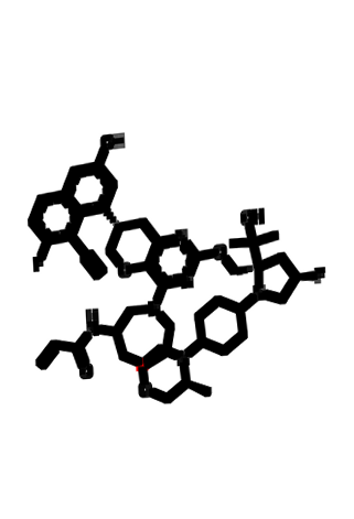 C#Cc1c(F)ccc2cc(O)cc([C@H]3COc4c(nc(OC[C@]5(C(C)(C)O)C[C@@H](F)CN5C5CCC(N6CCOC[C@@H]6C)CC5)nc4N4CCCCC(NC(=O)C=C)C4)C3)c12